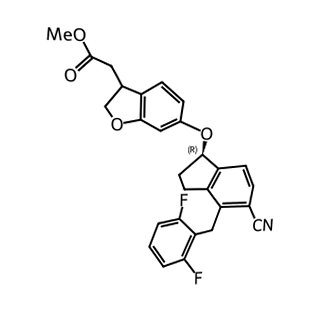 COC(=O)CC1COc2cc(O[C@@H]3CCc4c3ccc(C#N)c4Cc3c(F)cccc3F)ccc21